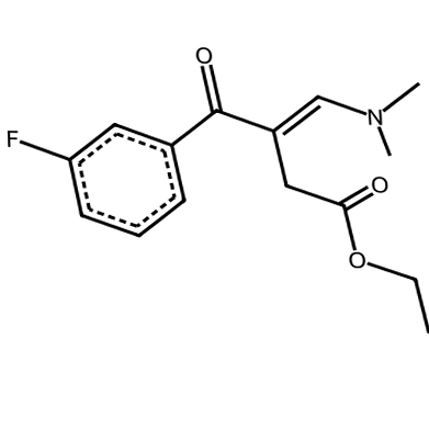 CCOC(=O)C/C(=C\N(C)C)C(=O)c1cccc(F)c1